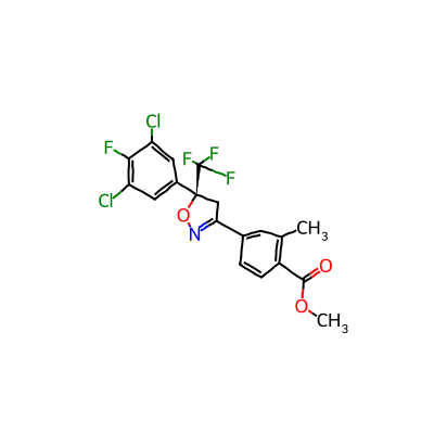 COC(=O)c1ccc(C2=NO[C@@](c3cc(Cl)c(F)c(Cl)c3)(C(F)(F)F)C2)cc1C